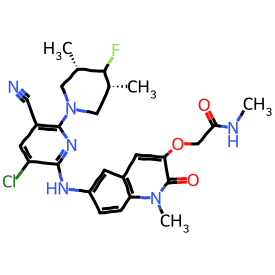 CNC(=O)COc1cc2cc(Nc3nc(N4C[C@@H](C)C(F)[C@@H](C)C4)c(C#N)cc3Cl)ccc2n(C)c1=O